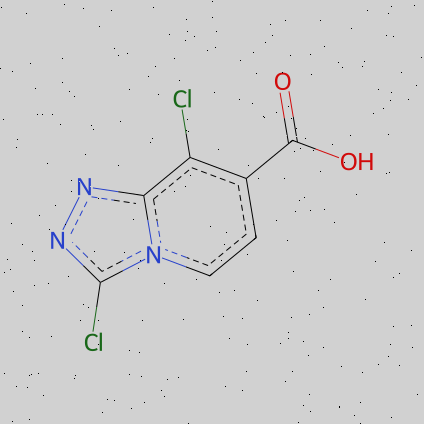 O=C(O)c1ccn2c(Cl)nnc2c1Cl